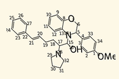 COc1ccc(C2COc3ccccc3N2C(O)C(CCC=Cc2ccccc2)N2CCCC2)cc1